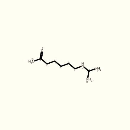 NC(=O)CCCCCNC(N)N